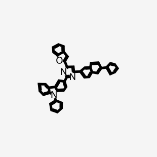 c1ccc(-c2ccc3cc(-c4cc(-c5cc6ccccc6o5)nc(-c5ccc6c(c5)c5ccccc5n6-c5ccccc5)n4)ccc3c2)cc1